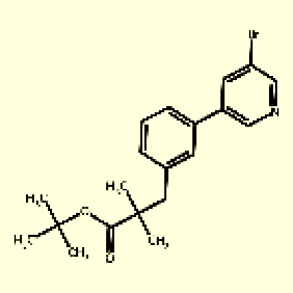 CC(C)(C)OC(=O)C(C)(C)Cc1cccc(-c2cncc(Br)c2)c1